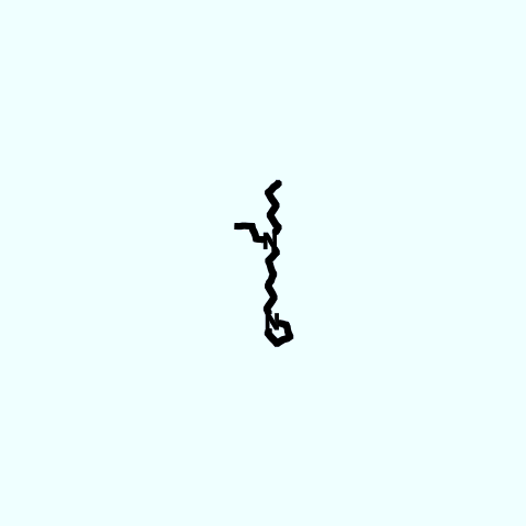 CCCCCN(CCC)CCCCCCN1CCCC1